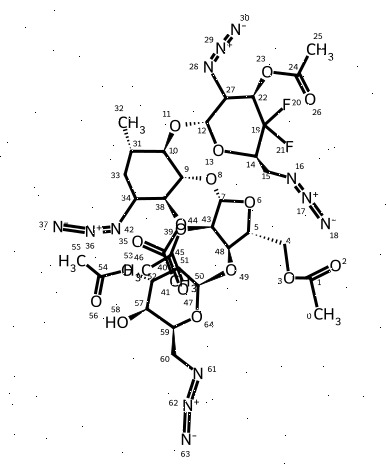 CC(=O)OC[C@H]1O[C@@H](O[C@H]2[C@H](O[C@H]3O[C@H](CN=[N+]=[N-])C(F)(F)[C@H](OC(C)=O)C3N=[N+]=[N-])[C@@H](C)CC(N=[N+]=[N-])[C@@H]2OC(C)=O)[C@H](OC(C)=O)[C@@H]1O[C@@H]1C[C@@H](OC(C)=O)[C@H](O)[C@H](CN=[N+]=[N-])O1